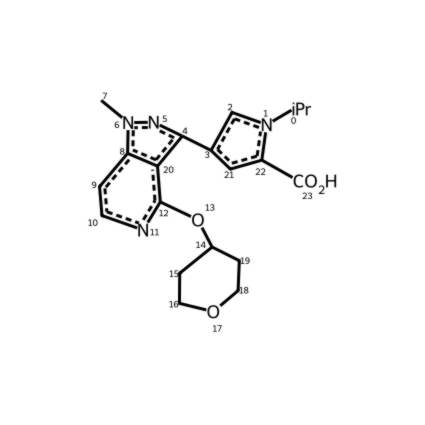 CC(C)n1cc(-c2nn(C)c3ccnc(OC4CCOCC4)c23)cc1C(=O)O